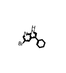 Brc1cnc2[nH]cc(C3=CCCCC3)c2c1